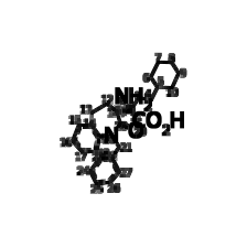 N[C@@]1([C@H](CCC2CCCCC2)C(=O)O)CCc2ccccc2N(Cc2ccccc2)C1=O